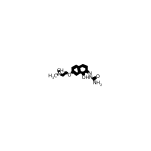 CN(C)CCOc1ccc2c(c1)C(=O)C(=NNC(N)=O)C=C2